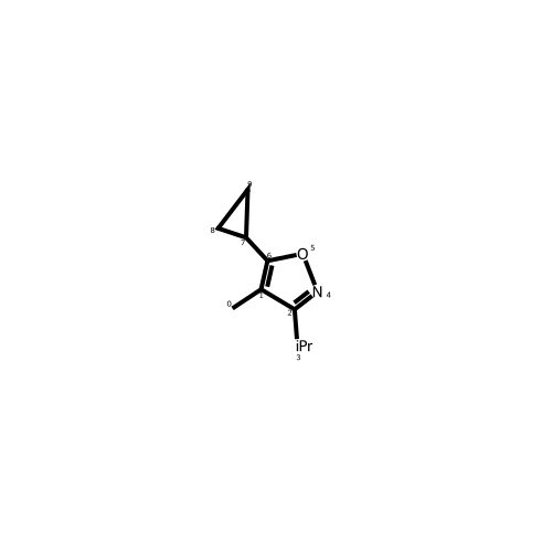 Cc1c(C(C)C)noc1C1CC1